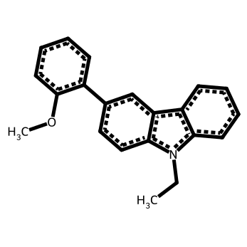 CCn1c2ccccc2c2cc(-c3ccccc3OC)ccc21